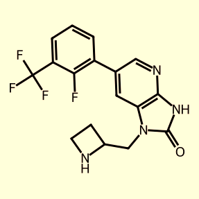 O=c1[nH]c2ncc(-c3cccc(C(F)(F)F)c3F)cc2n1CC1CCN1